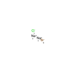 [Br-].[Cl-].[Na+].[Na+]